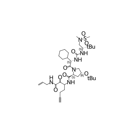 C#CCCC(NC(=O)[C@@H]1C[C@@H](OC(C)(C)C)CN1C(=O)[C@@H](NC(=O)N[C@H](CN(C)S(C)(=O)=O)C(C)(C)C)C1CCCCC1)C(=O)C(=O)NCC=C